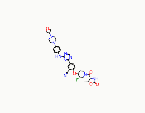 C[C@H]1OC(=O)N[C@@H]1C(=O)N1CC[C@H](Oc2ccc(-c3ncnc(Nc4ccc(N5CCN(C6COC6)CC5)cc4)n3)cc2C#N)[C@@H](F)C1